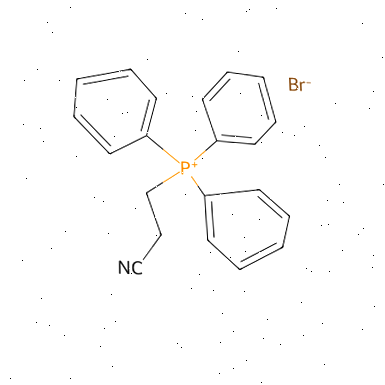 N#CCC[P+](c1ccccc1)(c1ccccc1)c1ccccc1.[Br-]